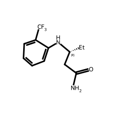 CC[C@H](CC(N)=O)Nc1ccccc1C(F)(F)F